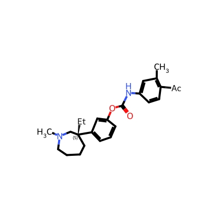 CC[C@@]1(c2cccc(OC(=O)Nc3ccc(C(C)=O)c(C)c3)c2)CCCCN(C)C1